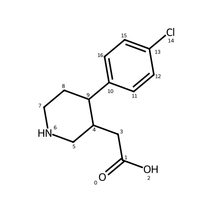 O=C(O)CC1CNCCC1c1ccc(Cl)cc1